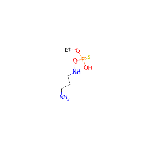 CCOP(O)(=S)ONCCCN